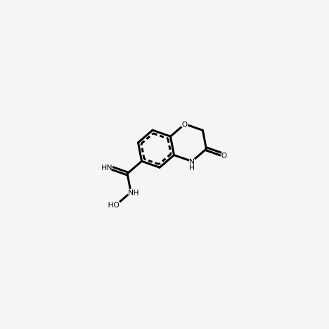 N=C(NO)c1ccc2c(c1)NC(=O)CO2